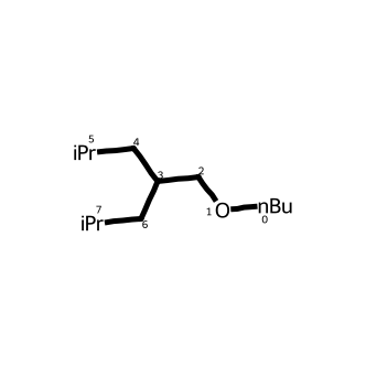 CCCCOCC(CC(C)C)CC(C)C